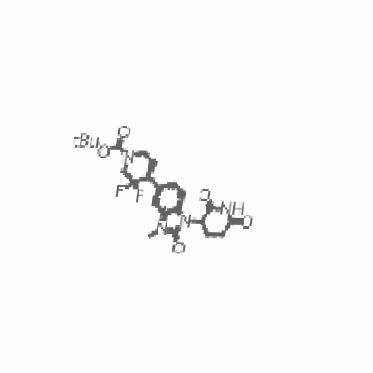 Cn1c(=O)n(C2CCC(=O)NC2=O)c2ccc(C3=CCN(C(=O)OC(C)(C)C)CC3(F)F)cc21